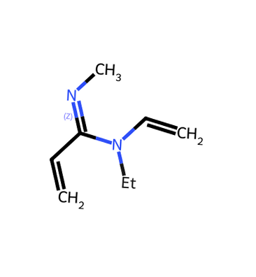 C=C/C(=N/C)N(C=C)CC